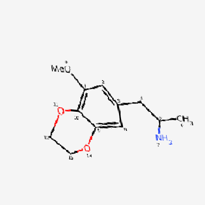 COc1cc(CC(C)N)cc2c1OCCO2